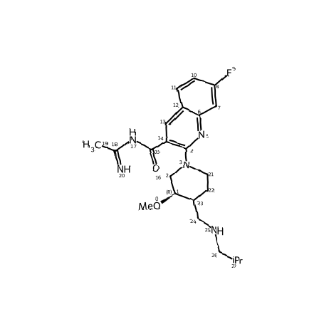 CO[C@H]1CN(c2nc3cc(F)ccc3cc2C(=O)NC(C)=N)CCC1CNCC(C)C